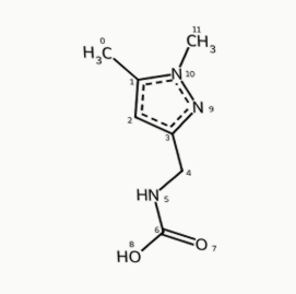 Cc1cc(CNC(=O)O)nn1C